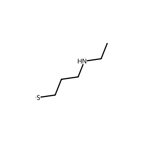 CCNCCC[S]